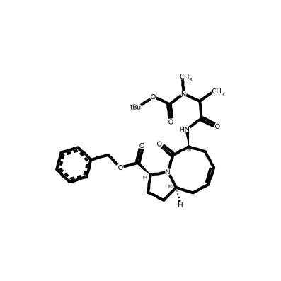 CC(C(=O)N[C@H]1CC=CC[C@H]2CC[C@@H](C(=O)OCc3ccccc3)N2C1=O)N(C)C(=O)OC(C)(C)C